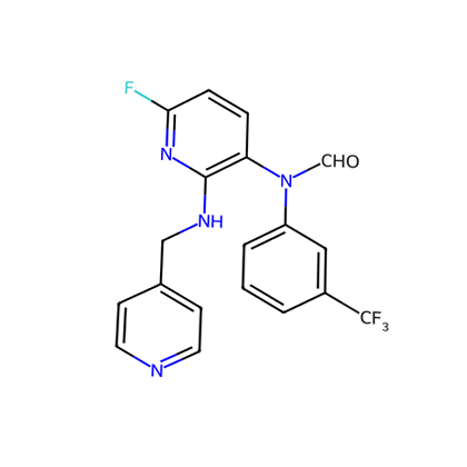 O=CN(c1cccc(C(F)(F)F)c1)c1ccc(F)nc1NCc1ccncc1